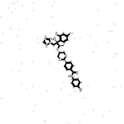 C[C@@H](S[C@H]1CO[C@H](c2ccc(C(=O)Nc3ccc(Br)cc3)cc2)OC1)[C@](O)(Cn1cncn1)c1ccc(F)cc1F